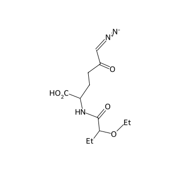 CCOC(CC)C(=O)NC(CCC(=O)C=[N+]=[N-])C(=O)O